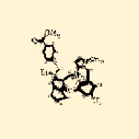 CCN(C[C@H]1CC[C@H](C(=O)OC)CC1)c1cc2c(cc1CNC1C=CN(C)N1Cc1cc(C#N)cc(C(F)(F)F)c1)CCC2